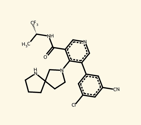 C[C@@H](NC(=O)c1cncc(-c2cc(Cl)cc(C#N)c2)c1N1CCC2(CCCN2)C1)C(F)(F)F